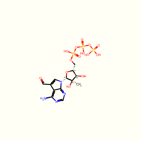 C[C@@]1(O)[C@H](O)[C@@H](COP(=O)(O)OP(=O)(O)OP(=O)(O)O)O[C@H]1n1cc(C=O)c2c(N)ncnc21